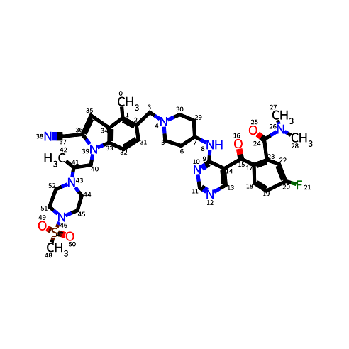 Cc1c(CN2CCC(Nc3ncncc3C(=O)c3ccc(F)cc3C(=O)N(C)C)CC2)ccc2c1cc(C#N)n2CC(C)N1CCN(S(C)(=O)=O)CC1